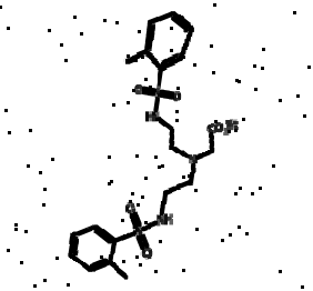 CCOC(=O)CN(CCNS(=O)(=O)c1ccccc1C)CCNS(=O)(=O)c1ccccc1C